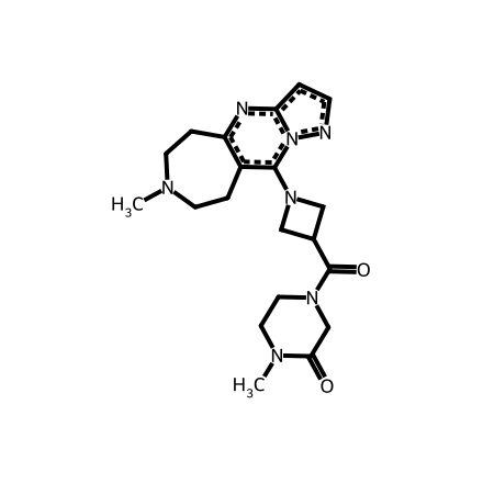 CN1CCc2nc3ccnn3c(N3CC(C(=O)N4CCN(C)C(=O)C4)C3)c2CC1